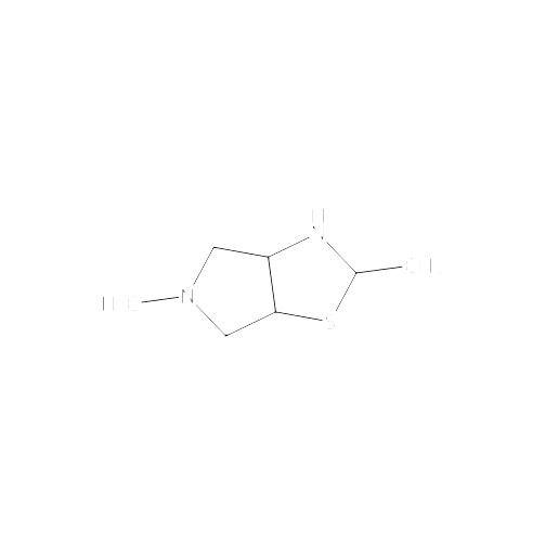 CC1NC2CN(C)CC2S1